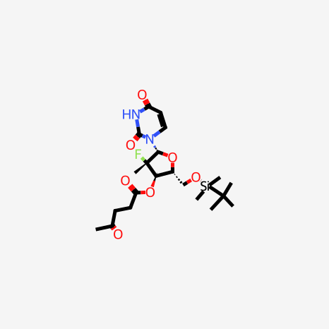 CC(=O)CCC(=O)O[C@@H]1[C@@H](CO[Si](C)(C)C(C)(C)C)O[C@@H](n2ccc(=O)[nH]c2=O)[C@@]1(C)F